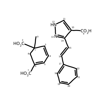 CC1(C(=O)O)C=CC=C(C(=O)O)C1.O=C(O)c1c[nH]nc1C=Cc1ccccc1